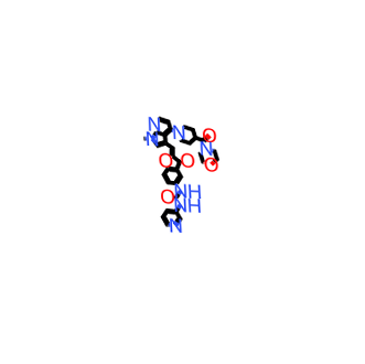 Cn1cc(C=C2Oc3ccc(NC(=O)Nc4cccnc4)cc3C2=O)c2c(N3CCC(C(=O)N4CCOCC4)CC3)ccnc21